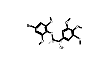 COc1cc([C@H](O)[C@H](C)Oc2c(OC)cc(Br)cc2OC)cc(OC)c1OC